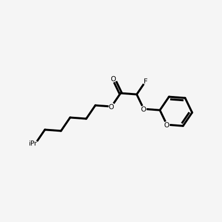 CC(C)CCCCCOC(=O)C(F)OC1C=CC=CO1